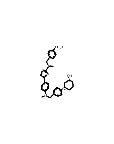 CN(Cc1ccc([C@@H]2CCC[C@H](O)C2)cc1)c1ccc(-c2csc(N(C)Cc3ccc(C(=O)O)cc3)n2)cc1